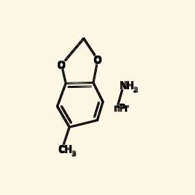 CCCN.Cc1ccc2c(c1)OCO2